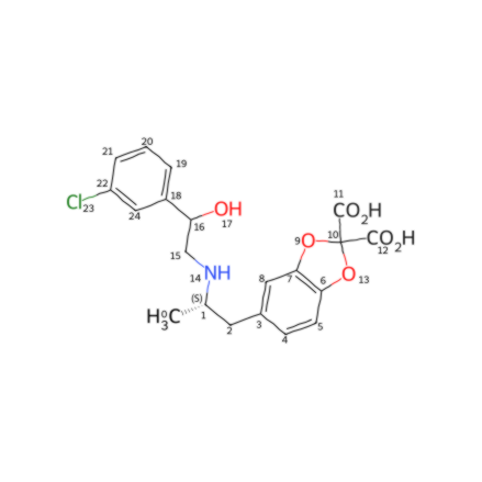 C[C@@H](Cc1ccc2c(c1)OC(C(=O)O)(C(=O)O)O2)NCC(O)c1cccc(Cl)c1